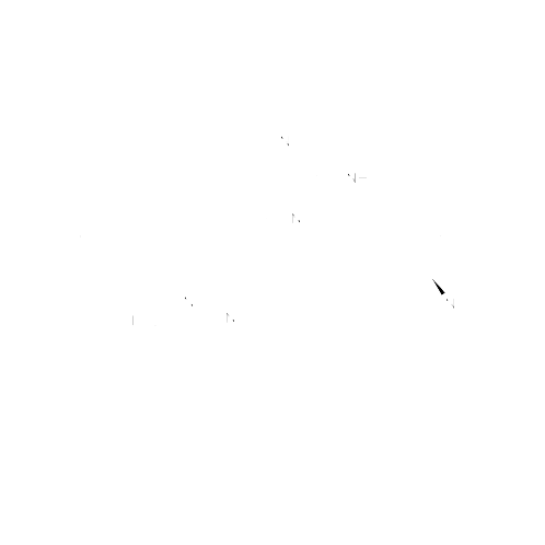 Cn1ncc(-c2nc(N[C@H]3CC[C@H](NC4CCCC4)CC3)ncc2F)c1CC1CC1